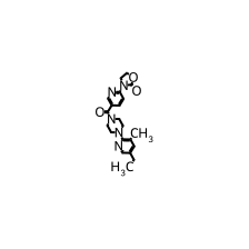 CCc1cnc(N2CCN(C(=O)c3ccc(N4CCOC4=O)nc3)CC2)c(C)c1